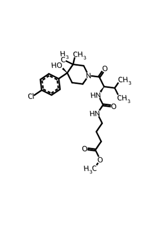 COC(=O)CCCNC(=O)N[C@@H](C(=O)N1CC[C@](O)(c2ccc(Cl)cc2)C(C)(C)C1)C(C)C